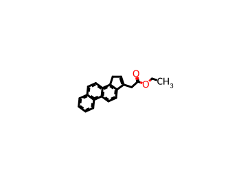 CCOC(=O)CC1=CCc2c1ccc1c2ccc2ccccc21